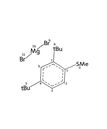 CSc1[c]cc(C(C)(C)C)cc1C(C)(C)C.[Br][Mg][Br]